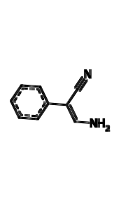 N#CC(=CN)c1ccccc1